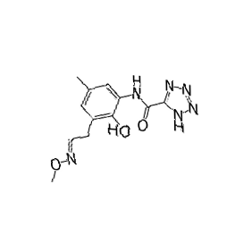 CON=CCc1cc(C)cc(NC(=O)c2nnn[nH]2)c1O